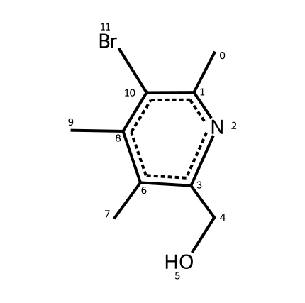 Cc1nc(CO)c(C)c(C)c1Br